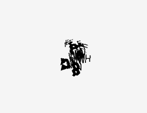 Cc1ccc2ncc(CN(Cc3cc(C(F)(F)F)cc(C(F)(F)F)c3)C3=NN(C)NN3)c(N(CC3CC3)CC3CC3)c2c1